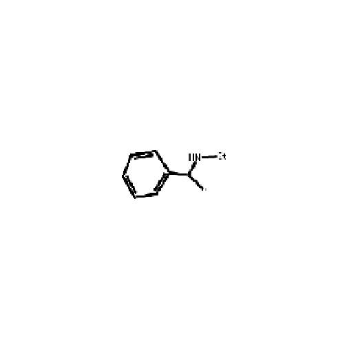 [CH2]C(NCC)c1ccccc1